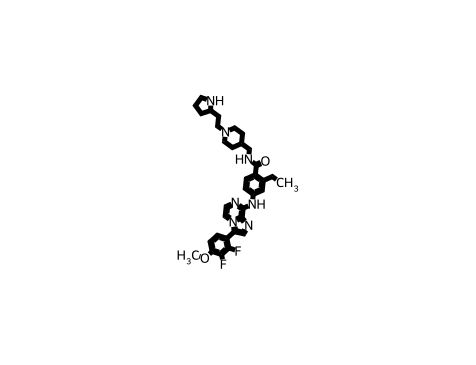 CCc1cc(Nc2nccn3c(-c4ccc(OC)c(F)c4F)cnc23)ccc1C(=O)NCC1CCN(CCC2CCCN2)CC1